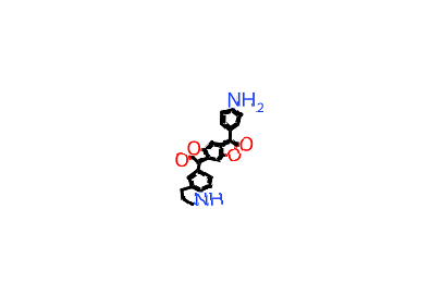 Nc1ccc(C2=c3cc4c(cc3OC2=O)=C(c2ccc3c(c2)CCCN3)C(=O)O4)cc1